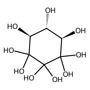 O[C@@H]1[C@@H](O)C(O)(O)C(O)(O)C(O)(O)[C@H]1O